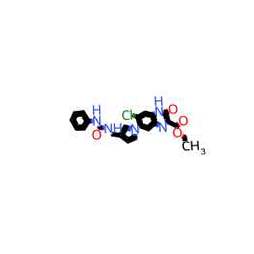 CCOC(=O)c1nc2cc(-n3ccc(CNC(=O)Nc4ccccc4)c3)c(Cl)cc2[nH]c1=O